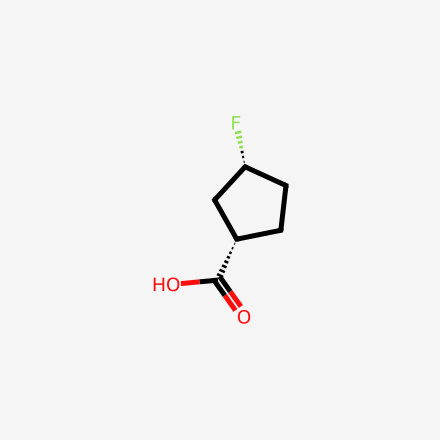 O=C(O)[C@H]1CC[C@@H](F)C1